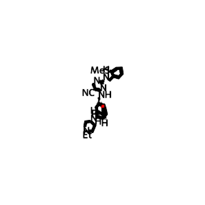 CCN1CCC(N[C@@H]2[C@@H]3CC4C[C@H]2C[C@@](CNc2nc(NCc5ccccc5SC)ncc2C#N)(C4)C3)CC1